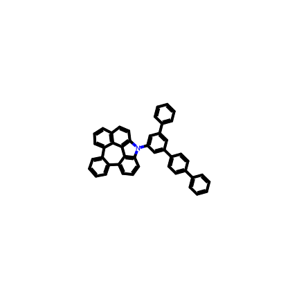 c1ccc(-c2ccc(-c3cc(-c4ccccc4)cc(-n4c5cccc6c5c5c7c(cccc7ccc54)-c4ccccc4-6)c3)cc2)cc1